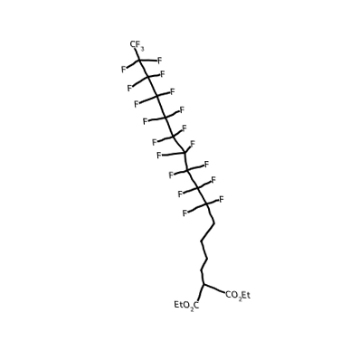 CCOC(=O)C(CCCCC(F)(F)C(F)(F)C(F)(F)C(F)(F)C(F)(F)C(F)(F)C(F)(F)C(F)(F)C(F)(F)C(F)(F)F)C(=O)OCC